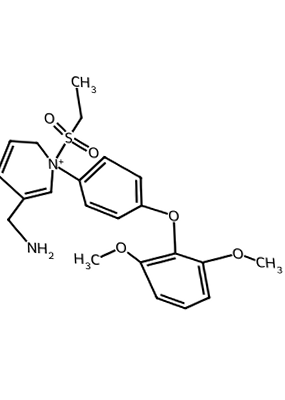 CCS(=O)(=O)[N+]1(c2ccc(Oc3c(OC)cccc3OC)cc2)C=C(CN)C=CC1